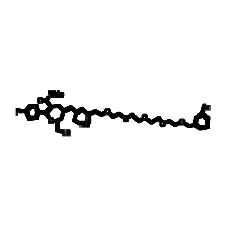 CC/C=C1\C/C(=C\C(=C\NCCOCCOCCOCCOCCOCc2cccc(C(C)=O)c2)CC(C)CC)CC(C(=O)NC)=C(c2ccc(F)cc2)O1